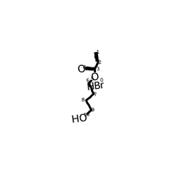 Br.C=CC(=O)OCCCCO